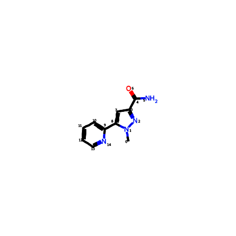 Cn1nc(C(N)=O)cc1-c1ccccn1